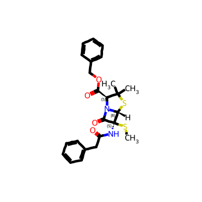 CS[C@@]1(NC(=O)Cc2ccccc2)C(=O)N2[C@@H](C(=O)OCc3ccccc3)C(C)(C)S[C@@H]21